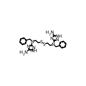 Nc1nc(N(CCSSCCN(Cc2ccccc2)c2n[nH]c(N)n2)Cc2ccccc2)n[nH]1